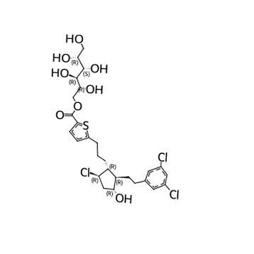 O=C(OC[C@@H](O)[C@@H](O)[C@@H](O)[C@H](O)CO)c1ccc(CCC[C@@H]2[C@@H](CCc3cc(Cl)cc(Cl)c3)[C@H](O)C[C@H]2Cl)s1